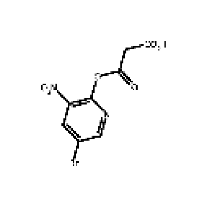 O=C(O)CC(=O)Oc1ncc(Br)cc1[N+](=O)[O-]